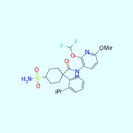 COc1ccc(NC(=O)C2(c3ccccc3C(C)C)CCC(S(N)(=O)=O)CC2)c(OC(F)F)n1